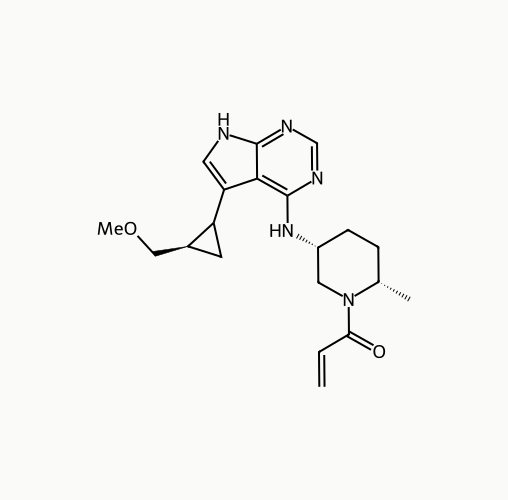 C=CC(=O)N1C[C@H](Nc2ncnc3[nH]cc(C4C[C@H]4COC)c23)CC[C@@H]1C